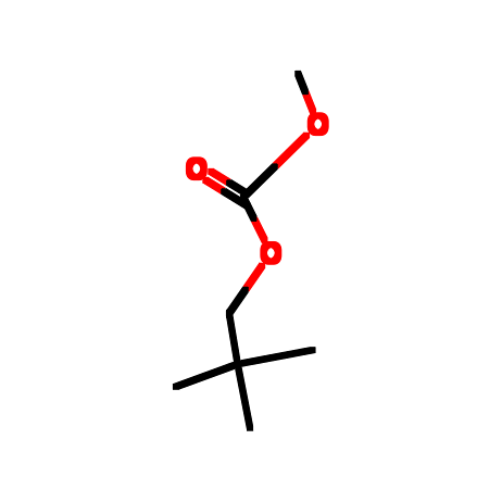 COC(=O)OCC(C)(C)C